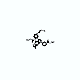 COCCOc1ccc(N(C(=O)OC(C)(C)C)c2c3c(nc4c(I)cnn24)N([C@H]2CCCN(C(=O)OC(C)(C)C)C2)CC3)cc1